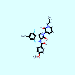 COc1cc(F)c([C@@H]2CN(c3cccn(CCC(F)(F)F)c3=O)C(=O)[C@H]2NC(=O)c2ccc(OC(F)(F)F)cc2)c(F)c1